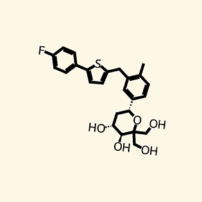 Cc1ccc([C@H]2C[C@@H](O)[C@H](O)C(CO)(CO)O2)cc1Cc1ccc(-c2ccc(F)cc2)s1